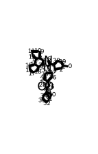 Cc1ccc(-c2nc3c4ccccc4c4ccccc4c3n2-c2ccc(OC(=O)C3CC4C=CC3C4)cc2)cc1